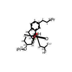 CC(C)CCc1ccc2c(c1)C1(NC(=O)N(CC(F)F)C1=O)[C@]1(CC[C@H](OC(C)C)CC1)C2